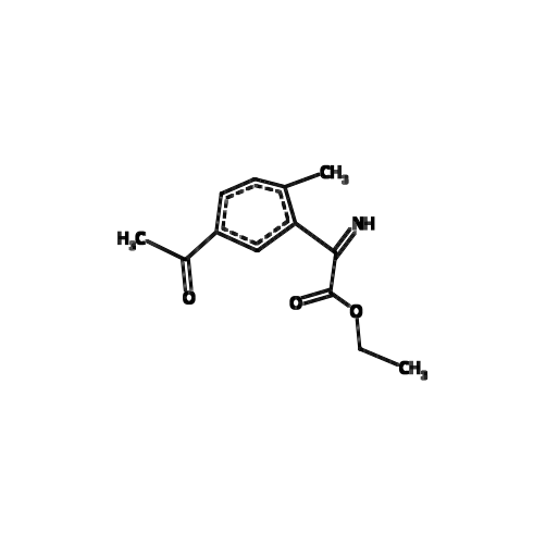 CCOC(=O)C(=N)c1cc(C(C)=O)ccc1C